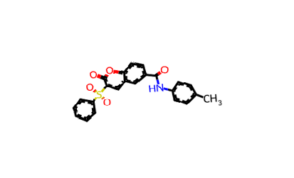 Cc1ccc(NC(=O)c2ccc3oc(=O)c(S(=O)(=O)c4ccccc4)cc3c2)cc1